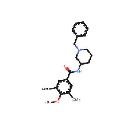 CCCCOc1c(OC)cc(C(=O)NC2CCCN(Cc3ccccc3)C2)cc1OC